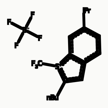 CCCCc1cc2ccc(C(C)C)cc2[s+]1C(F)(F)F.F[B-](F)(F)F